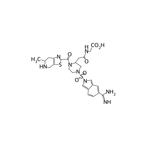 CC1Cc2nc(C(=O)N3CCN(S(=O)(=O)n4cc5ccc(C(=N)N)cc5c4)CC3CC(=O)NCC(=O)O)sc2CN1